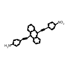 Nc1ccc(C#Cc2c3ccccc3c(C#Cc3ccc([N+](=O)[O-])cc3)c3ccccc23)cc1